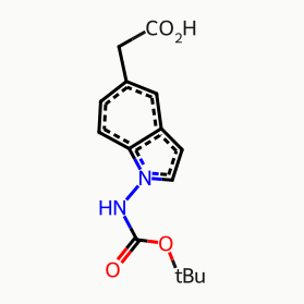 CC(C)(C)OC(=O)Nn1ccc2cc(CC(=O)O)ccc21